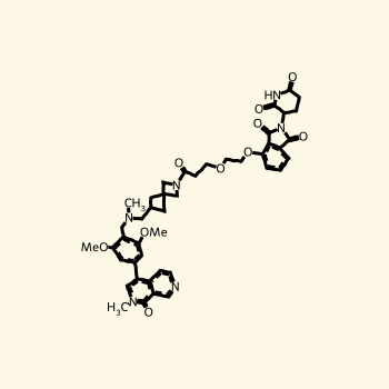 COc1cc(-c2cn(C)c(=O)c3cnccc23)cc(OC)c1CN(C)CC1CC2(C1)CN(C(=O)CCOCCOc1cccc3c1C(=O)N(C1CCC(=O)NC1=O)C3=O)C2